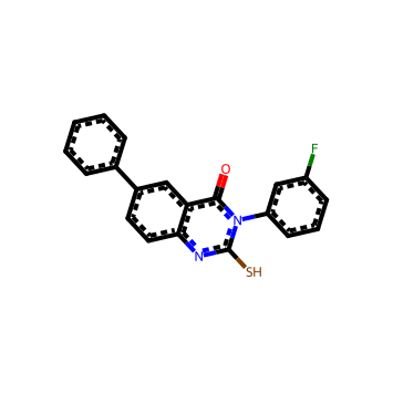 O=c1c2cc(-c3ccccc3)ccc2nc(S)n1-c1cccc(F)c1